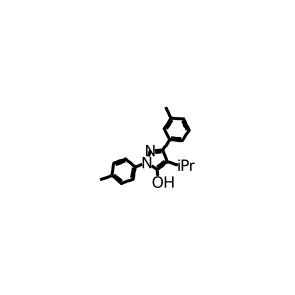 Cc1ccc(-n2nc(-c3cccc(C)c3)c(C(C)C)c2O)cc1